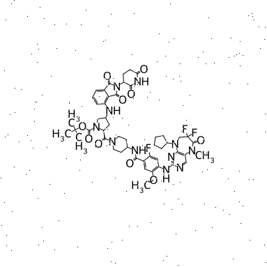 COc1cc(C(=O)NC2CCN(C(=O)[C@@H]3C[C@H](Nc4cccc5c4C(=O)N(C4CCC(=O)NC4=O)C5=O)CN3C(=O)OC(C)(C)C)CC2)c(F)cc1Nc1ncc2c(n1)N(C1CCCC1)CC(F)(F)C(=O)N2C